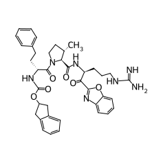 C[C@H]1CCN(C(=O)[C@@H](CCc2ccccc2)NC(=O)OC2Cc3ccccc3C2)[C@@H]1C(=O)N[C@@H](CCCNC(=N)N)C(=O)c1nc2ccccc2o1